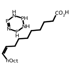 CCCCCCCC/C=C\CCCCCCCC(=O)O.n1p[nH][pH][nH][pH]1